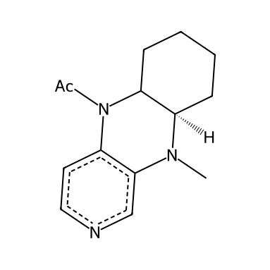 CC(=O)N1c2ccncc2N(C)[C@@H]2CCCCC21